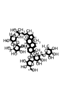 C[C@H](CC[C@@H](O[C@@H]1OC[C@@H](O)[C@H](O)[C@H]1O[C@H]1O[C@@H](CO)[C@H](O)[C@@H](O)[C@@H]1O)C(C)(C)O)C1CC[C@@]2(C)C3CC=C4C(CC[C@H](O[C@@H]5O[C@H](CO[C@@H]6O[C@H](C)[C@@H](O)[C@H](O)[C@H]6O)[C@@H](O)[C@H](O)[C@H]5C5O[C@@H](CO)[C@H](O)[C@@H](O)[C@@H]5O)C4(C)C)[C@]3(C)CC[C@]12C